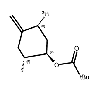 [3H][C@@H]1C[C@@H](OC(=O)C(C)(C)C)[C@H](C)CC1=C